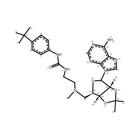 CN(CCNC(=O)Nc1ccc(C(C)(C)C)cc1)C[C@H]1OC(n2cnc3c(N)ncnc32)[C@@H]2OC(C)(C)O[C@H]12